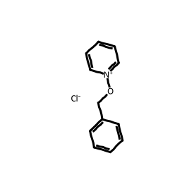 [Cl-].c1ccc(CO[n+]2ccccc2)cc1